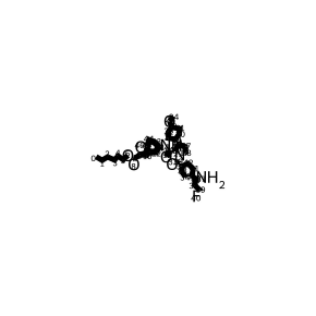 CCCCCCOC(=O)c1cc2cc(NC(=O)[C@@H]3[C@H](C4CCC(OC)CC4)CCN3C(=O)[C@H]3CC[C@H]([C@H](N)CCF)CC3)ccc2o1